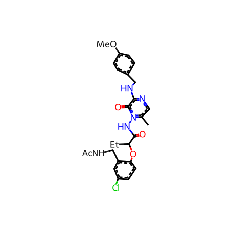 CCC(Oc1ccc(Cl)cc1CNC(C)=O)C(=O)Nn1c(C)cnc(NCc2ccc(OC)cc2)c1=O